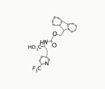 O=C(N[C@@H](Cc1ccc(C(F)(F)F)nc1)C(=O)O)OCC1c2ccccc2-c2ccccc21